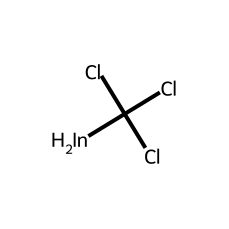 Cl[C](Cl)(Cl)[InH2]